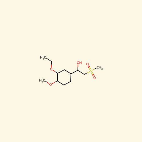 CCOC1CC(C(O)CS(C)(=O)=O)CCC1OC